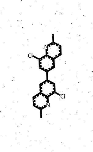 Cc1ccc2cc(-c3cc(Cl)c4nc(C)ccc4c3)cc(Cl)c2n1